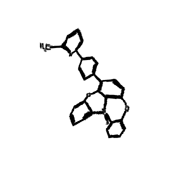 Cc1cccc(-c2ccc(-c3ccc4c5c3Oc3ccccc3P5(=S)c3ccccc3O4)cc2)n1